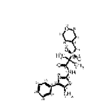 Cc1sc(NC(=O)C(C)(C)S(=O)(=O)CC2CCOCC2)nc1-c1ccccc1